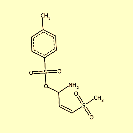 Cc1ccc(S(=O)(=O)OC(N)/C=C\S(C)(=O)=O)cc1